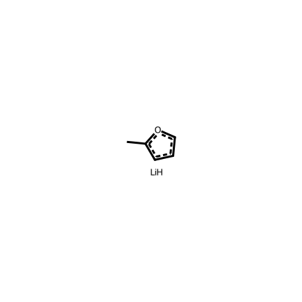 Cc1ccco1.[LiH]